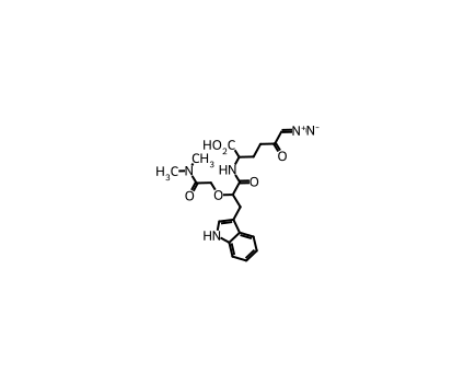 CN(C)C(=O)COC(Cc1c[nH]c2ccccc12)C(=O)NC(CCC(=O)C=[N+]=[N-])C(=O)O